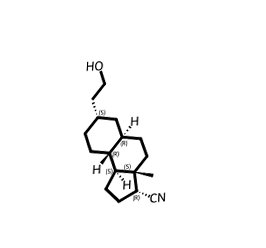 C[C@]12CC[C@@H]3C[C@@H](CCO)CC[C@H]3[C@@H]1CC[C@H]2C#N